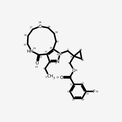 CCc1nn(CC2(COC(=O)c3cccc(F)c3)CC2)c2c1C(=O)NCCCOCCC2